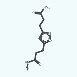 CNC(=O)CCc1cc(CCC(=O)NC(C)C)on1